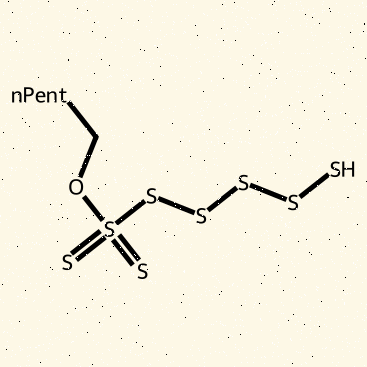 CCCCCCOS(=S)(=S)SSSSS